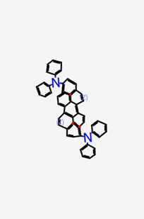 C(=C/c1c2ccccc2c(/C=C\c2ccc(N(c3ccccc3)c3ccccc3)cc2)c2ccccc12)/c1ccc(N(c2ccccc2)c2ccccc2)cc1